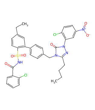 CCCCc1nn(-c2cc([N+](=O)[O-])ccc2Cl)c(=O)n1Cc1ccc(-c2cc(CC)ccc2S(=O)(=O)NC(=O)c2ccccc2Cl)cc1